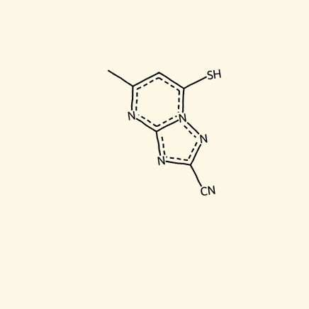 Cc1cc(S)n2nc(C#N)nc2n1